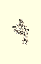 CC(c1nc(C(=O)Nc2cnoc2)c(O)c(=O)n1C)C(c1cnn(CCN2CCOCC2)c1)c1ccccc1C#N